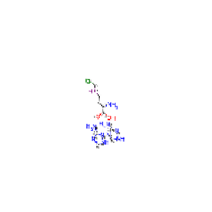 NC(CCPCCl)C(=O)O.Nc1nc[nH]n1.Nc1nc[nH]n1